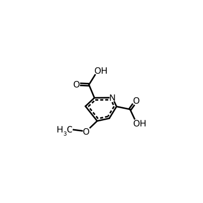 COc1cc(C(=O)O)nc(C(=O)O)c1